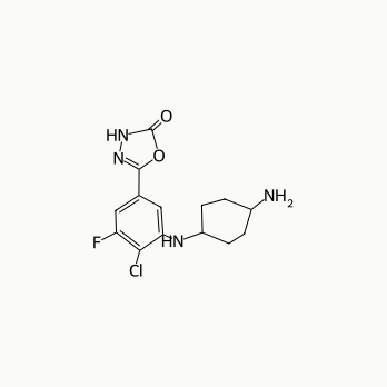 NC1CCC(Nc2cc(-c3n[nH]c(=O)o3)cc(F)c2Cl)CC1